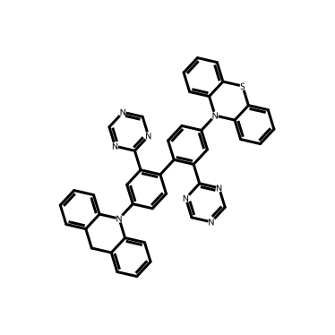 c1ccc2c(c1)Cc1ccccc1N2c1ccc(-c2ccc(N3c4ccccc4Sc4ccccc43)cc2-c2ncncn2)c(-c2ncncn2)c1